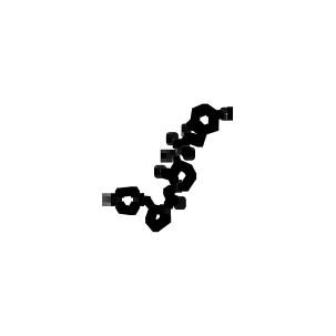 O=C1[C@@H](NS(=O)(=O)c2cc3cc(Cl)ccc3s2)CCCN1CC(=O)N1CCC[C@H]1CN1CCNCC1